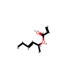 C=CC(=O)OC(C)C=CCC